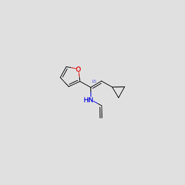 C=CN/C(=C\C1CC1)c1ccco1